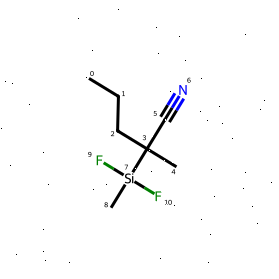 CCCC(C)(C#N)[Si](C)(F)F